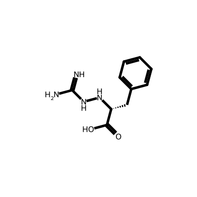 N=C(N)NN[C@H](Cc1ccccc1)C(=O)O